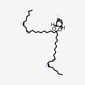 CCCCC/C=C\C/C=C\CCCCCCCCC1(CCCCCCCC/C=C\C/C=C\CCCCC)O[C@@H]2C3CC([C@H](C)C3)[C@H]2O1